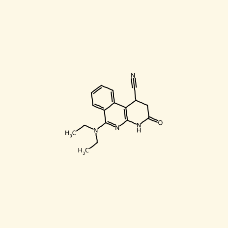 CCN(CC)c1nc2c(c3ccccc13)C(C#N)CC(=O)N2